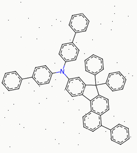 c1ccc(-c2ccc(N(c3ccc(-c4ccccc4)cc3)c3ccc4c(c3)C(c3ccccc3)(c3ccccc3)c3ccc5c(-c6ccccc6)cccc5c3-4)cc2)cc1